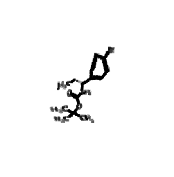 CC[C@@H](NC(=O)OC(C)(C)C)c1ccc(Br)cc1